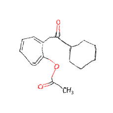 CC(=O)Oc1ccccc1C(=O)C1CCCCC1